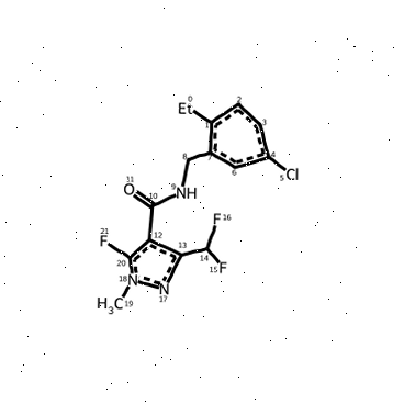 CCc1ccc(Cl)cc1CNC(=O)c1c(C(F)F)nn(C)c1F